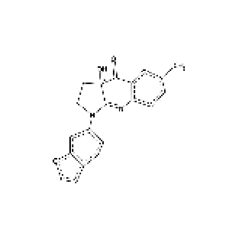 Cc1ccc2c(c1)C(=O)[C@]1(O)CCN(c3ccc4ccoc4c3)C1=N2